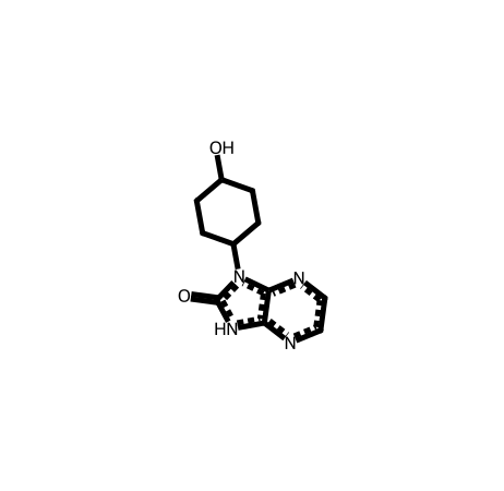 O=c1[nH]c2nccnc2n1C1CCC(O)CC1